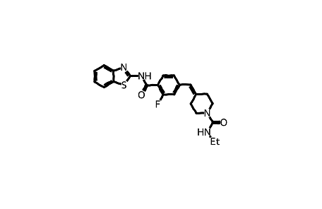 CCNC(=O)N1CCC(=Cc2ccc(C(=O)Nc3nc4ccccc4s3)c(F)c2)CC1